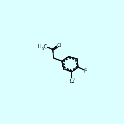 CC(=O)Cc1ccc(F)c(Cl)c1